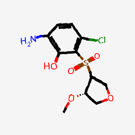 CO[C@H]1COCC1S(=O)(=O)c1c(Cl)ccc(N)c1O